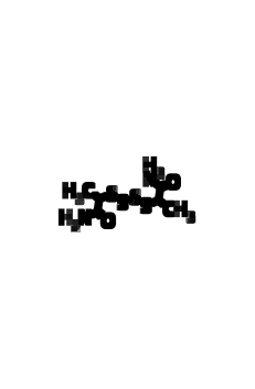 CC(SSSSC(C)C(N)=O)C(N)=O